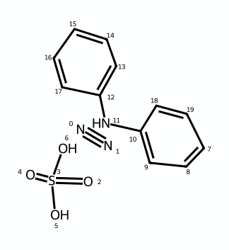 N#N.O=S(=O)(O)O.c1ccc(Nc2ccccc2)cc1